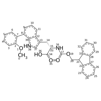 COc1ccccc1-c1cccc2c(C[C@H](NC(=O)OCC3c4ccccc4-c4ccccc43)C(=O)O)c[nH]c12